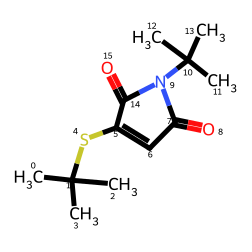 CC(C)(C)SC1=CC(=O)N(C(C)(C)C)C1=O